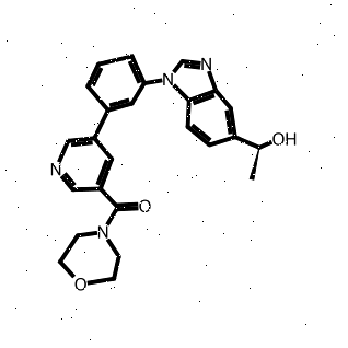 C[C@H](O)c1ccc2c(c1)ncn2-c1cccc(-c2cncc(C(=O)N3CCOCC3)c2)c1